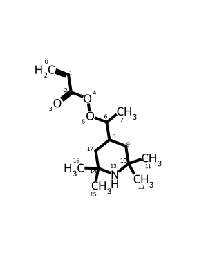 C=CC(=O)OOC(C)C1CC(C)(C)NC(C)(C)C1